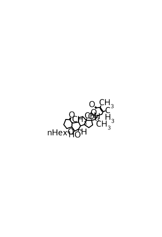 CCCCCCO[C@]12CCCC(=O)C1(C)C1CCC3(C)C(CC[C@]3(O)[C@H](C)C3CC(C)=C(C)C(=O)O3)C1[C@@H]1O[C@@H]12